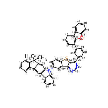 CC1(C)c2ccccc2-c2cc3c4ccccc4n(-c4ccc5sc6c(-c7cccc(-c8cccc9c8oc8ccccc89)c7)ncnc6c5c4)c3cc21